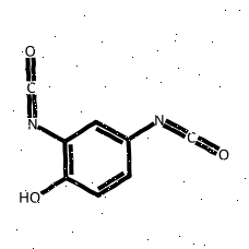 O=C=Nc1ccc(O)c(N=C=O)c1